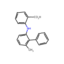 Cc1cccc(Nc2ccccc2C(=O)O)c1-c1ccccc1